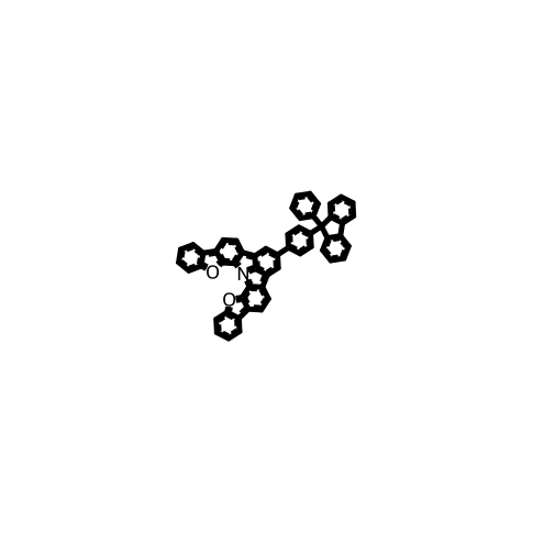 c1ccc(C2(c3ccc(-c4cc5c6ccc7c8ccccc8oc7c6n6c5c(c4)c4ccc5c7ccccc7oc5c46)cc3)c3ccccc3-c3ccccc32)cc1